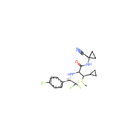 CSC(C1CC1)C(N[C@@H](c1ccc(F)cc1)C(F)(F)F)C(=O)NC1(C#N)CC1